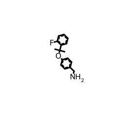 CC(C)(Oc1ccc(CN)cc1)c1ccccc1F